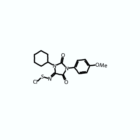 COc1ccc(N2C(=O)C(=NSCl)N(C3CCCCC3)C2=O)cc1